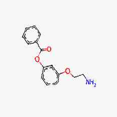 NCCOc1cccc(OC(=O)c2ccccc2)c1